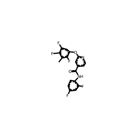 Cc1c(F)c(F)cc(Oc2cc(C(=O)Nc3ccc(F)cc3F)ccn2)c1F